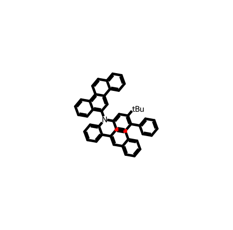 CC(C)(C)c1cc(N(c2ccccc2-c2ccc3ccccc3c2)c2cc3c4ccccc4ccc3c3ccccc23)ccc1-c1ccccc1